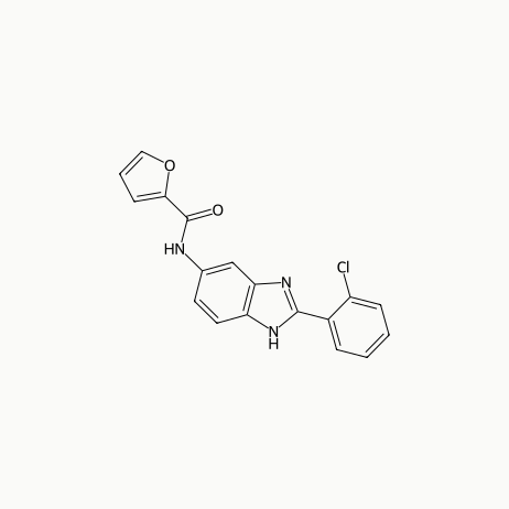 O=C(Nc1ccc2[nH]c(-c3ccccc3Cl)nc2c1)c1ccco1